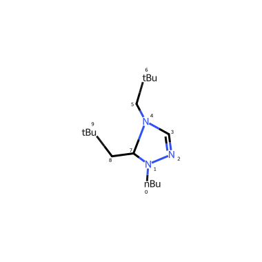 CCCCN1N=CN(CC(C)(C)C)C1CC(C)(C)C